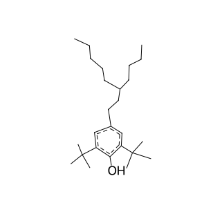 CCCCCC(CCCC)CCc1cc(C(C)(C)C)c(O)c(C(C)(C)C)c1